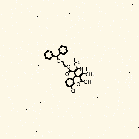 CC1=C(C(=O)O)C(c2cccc(Cl)c2)C(C(=O)OCCOC(c2ccccc2)c2ccccc2)=C(C)N1